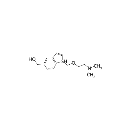 CN(C)CCOC[SH]1C=Cc2cc(CO)ccc21